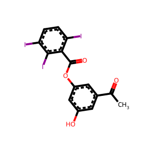 CC(=O)c1cc(O)cc(OC(=O)c2c(I)ccc(I)c2I)c1